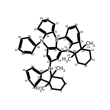 CC12CCCCC1(C)N(c1cc3c4c(c1)N1c5c(cccc5C5(C)CCCCC15C)B4c1ccccc1N3c1ccccc1)c1ccccc12